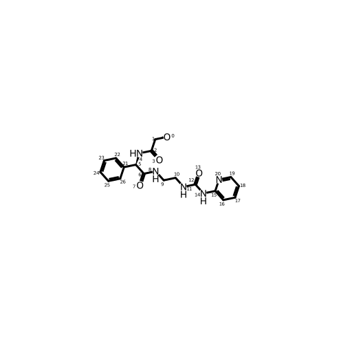 [O]CC(=O)N[C@@H](C(=O)NCCNC(=O)Nc1ccccn1)c1ccccc1